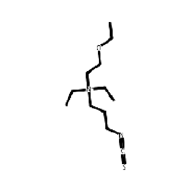 CCOCC[N+](CC)(CC)CCCN=C=S